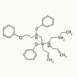 C=CC[SiH](C[SiH2]CC)[Si](CC=C)(C[SiH](CCOc1ccccc1)Oc1ccccc1)Oc1ccccc1